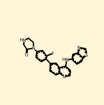 O=C1CNCCN1c1ccc(-c2ccc3nccc(Nc4ccc5scnc5c4)c3c2)c(F)c1